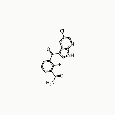 NC(=O)c1cccc(C(=O)c2c[nH]c3ncc(Cl)cc23)c1F